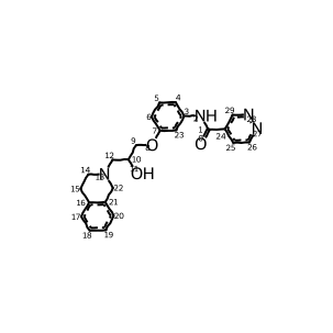 O=C(Nc1cccc(OCC(O)CN2CCc3ccccc3C2)c1)c1ccnnc1